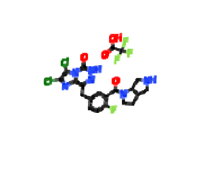 O=C(O)C(F)(F)F.O=C(c1cc(Cc2n[nH]c(=O)n3c(Cl)c(Cl)nc23)ccc1F)N1CCC2CNCC21